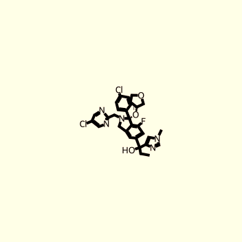 CCC(O)(c1cc(F)c2c(c1)CN(Cc1ncc(Cl)cn1)[C@@]2(O[C@H]1CCOC1)c1ccc(Cl)cc1)c1cn(C)cn1